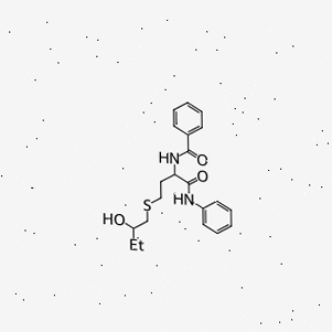 CCC(O)CSCCC(NC(=O)c1ccccc1)C(=O)Nc1ccccc1